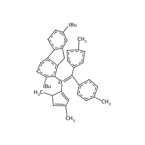 CC1=CC(C)[C]([Zr](=[C](c2ccc(C)cc2)c2ccc(C)cc2)[c]2c(C(C)(C)C)ccc3c2Cc2cc(C(C)(C)C)ccc2-3)=C1